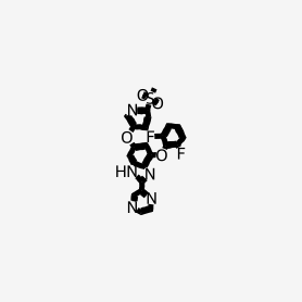 CS(=O)(=O)c1ccc(Oc2cc(Oc3c(F)cccc3F)c3nc(-c4cnccn4)[nH]c3c2)cn1